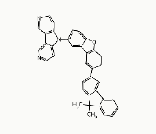 CC1(C)c2ccccc2-c2cc(-c3ccc4oc5ccc(-n6c7ccncc7c7cnccc76)cc5c4c3)ccc21